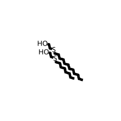 CCCCCCCCCCCCSCCO.CCCCCCCCSCCO